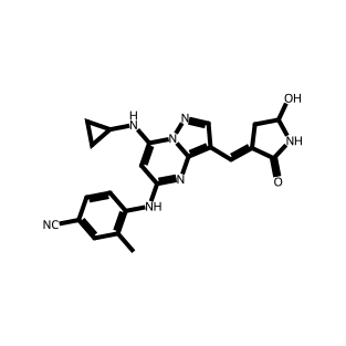 Cc1cc(C#N)ccc1Nc1cc(NC2CC2)n2ncc(/C=C3\CC(O)NC3=O)c2n1